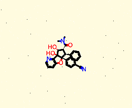 CN(C)C(=O)[C@H]1[C@@H](O)[C@@]2(O)c3ncccc3O[C@@]2(c2ccc(C#N)cc2)[C@@H]1c1ccccc1